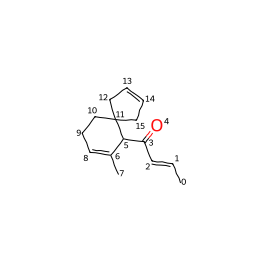 C/C=C/C(=O)C1C(C)=CCCC12CC=CC2